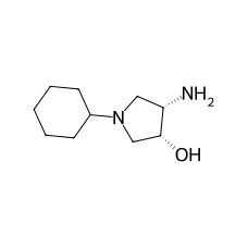 N[C@H]1CN(C2CCCCC2)C[C@H]1O